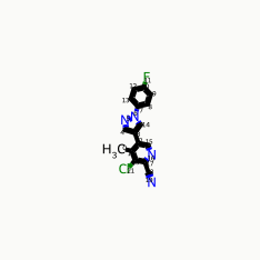 Cc1c(-c2cnn(-c3ccc(F)cc3)c2)cnc(C#N)c1Cl